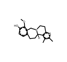 COc1c(O)ccc2c1CN1CCc3sc(C)c(C)c3[C@@H]1CC2